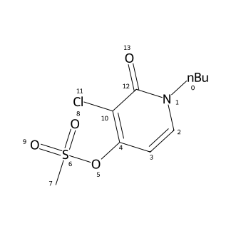 CCCCn1ccc(OS(C)(=O)=O)c(Cl)c1=O